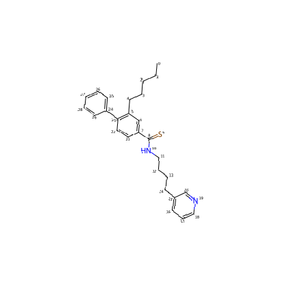 CCCCCc1cc(C(=S)NCCCCc2cccnc2)ccc1-c1ccccc1